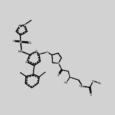 Cc1cccc(C)c1-c1cc(OC2CCN(C(=O)CC(O)CNC(=O)OC(C)(C)C)C2)nc(NS(=O)(=O)c2cnn(C)c2)n1